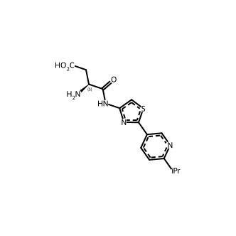 CC(C)c1ccc(-c2nc(NC(=O)[C@@H](N)CC(=O)O)cs2)cn1